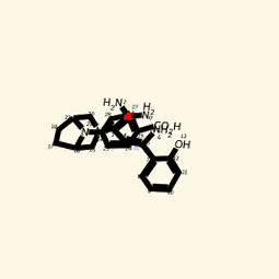 NC(N)=C(/C=C(\N)c1ccccc1O)N1CC2CCC(C1)N2c1ccc(C(=O)O)nc1